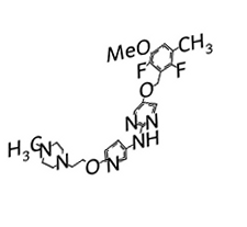 COc1cc(C)c(F)c(COc2cnc(Nc3ccc(OCCN4CCN(C)CC4)nc3)nc2)c1F